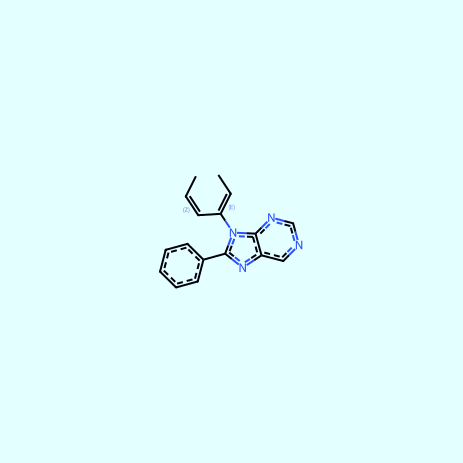 C/C=C\C(=C/C)n1c(-c2ccccc2)nc2cncnc21